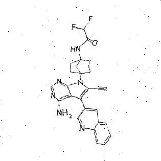 C#Cc1c(-c2cnc3ccccc3c2)c2c(N)ncnc2n1C12CCC(NC(=O)C(F)F)(CC1)C2